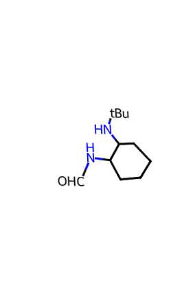 CC(C)(C)NC1CCCCC1NC=O